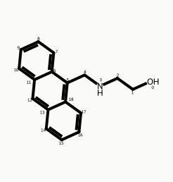 OCCNCc1c2ccccc2cc2ccccc12